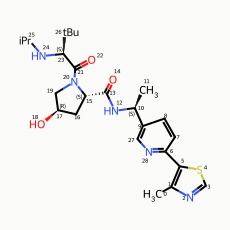 Cc1ncsc1-c1ccc([C@H](C)NC(=O)[C@@H]2C[C@@H](O)CN2C(=O)[C@@H](NC(C)C)C(C)(C)C)cn1